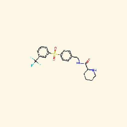 O=C(NCc1ccc(S(=O)(=O)c2cccc(C(F)(F)F)c2)cc1)C1CCCCN1